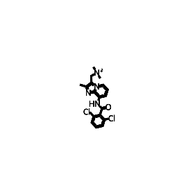 Cc1nc2c(NC(=O)c3c(Cl)cccc3Cl)cccn2c1C[N+](C)(C)C